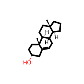 C[C@@]12CCC[C@H]1[C@@H]1CC=C3C[C@H](O)CC[C@]3(C)[C@H]1CC2